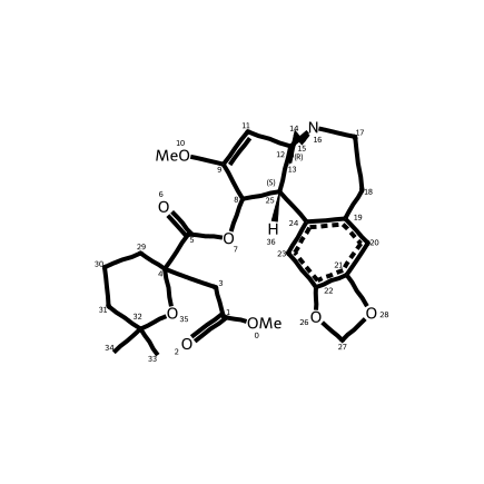 COC(=O)CC1(C(=O)OC2C(OC)=C[C@]34CCCN3CCc3cc5c(cc3[C@H]24)OCO5)CCCC(C)(C)O1